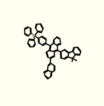 CC1(C)c2ccccc2-c2cc(-c3c4ccccc4c(-c4ccc([Si](c5ccccc5)(c5ccccc5)c5ccccc5)cc4)c4ccc(-c5ccc6ccccc6c5)cc34)ccc21